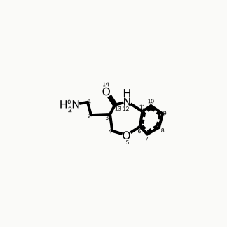 NCCC1COc2ccccc2NC1=O